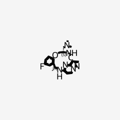 C[C@H]1Nc2ccn3ncc(c3n2)CN[C@@H](CN(C)C)COc2ccc(F)cc21